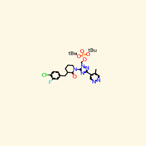 Cc1cnncc1-c1nc(N2CCCC(Cc3ccc(Cl)c(F)c3)C2=O)n(COP(=O)(OC(C)(C)C)OC(C)(C)C)n1